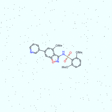 COc1cccc(OC)c1S(=O)(=O)Nc1noc2cc(-c3cccnc3)cc(OC)c12